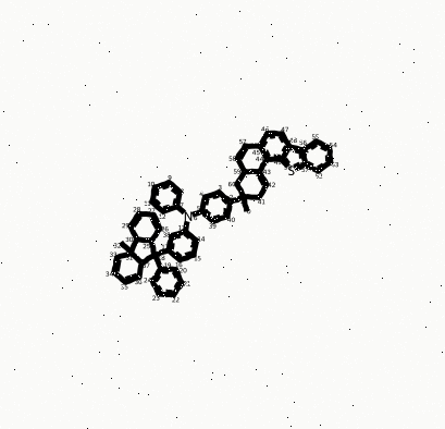 CC1(c2ccc(N(c3ccccc3)c3cccc(C4(c5ccccc5)C5C=CC=CC5C5(C)C=CC=CC54)c3)cc2)CC=C2c3c(ccc4c3sc3ccccc34)C=CC2C1